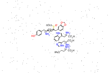 CCCCCCCC[S+]([O-])C(C)Cc1ccc2c(c1)OCO2.CSCC[C@H](N)C(=O)O.N[C@@H](Cc1c[nH]c2ccccc12)C(=O)O.N[C@@H](Cc1ccc(O)cc1)C(=O)O.N[C@@H](Cc1cnc[nH]1)C(=O)O